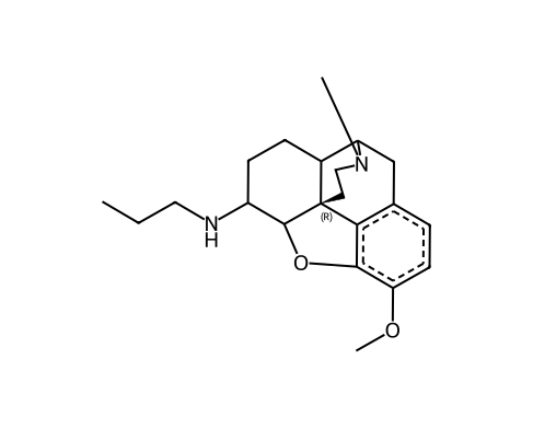 CCCNC1CCC2C3Cc4ccc(OC)c5c4[C@]2(CCN3C)C1O5